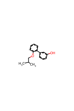 CC(C)COc1[c]cccc1-c1cccc(O)c1